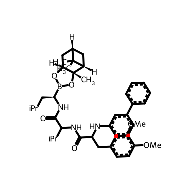 COc1ccc(CC(Nc2cccc(-c3ccccc3)c2)C(=O)NC(C(=O)N[C@@H](CC(C)C)B2O[C@@H]3C[C@@H]4C[C@@H](C4(C)C)[C@]3(C)O2)C(C)C)cc1OC